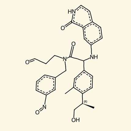 Cc1cc(C(Nc2ccc3cc[nH]c(=O)c3c2)C(=O)N(CCC=O)Cc2cccc(N=O)c2)ccc1[C@@H](C)CO